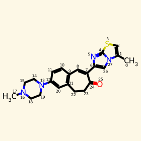 Cc1csc2nc(C3=Cc4ccc(N5CCN(C)CC5)cc4CCC3=O)cn12